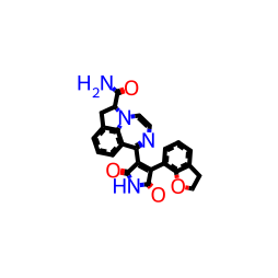 NC(=O)C1Cc2cccc3c2N1C=CN=C3C1=C(c2cccc3c2OCC3)C(=O)NC1=O